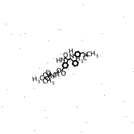 CN(C)Cc1ccc(N/C(=C2\C(=O)Nc3cc(C(=O)OCCNC(=O)OC(C)(C)C)ccc32)c2ccccc2)cc1